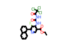 CCOC(=O)c1cnc(-c2cccc3ccccc23)c(F)c1NC(=O)NC(=O)C(Cl)(Cl)Cl